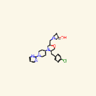 O[C@@H]1CCN(CC2CN(C3CCN(c4ncccn4)CC3)C(Cc3ccc(Cl)cc3)CO2)C1